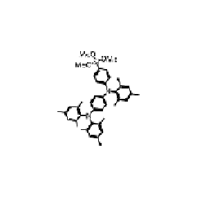 CO[Si](OC)(OC)c1ccc(N(c2ccc(N(c3c(C)cc(C)cc3C)c3c(C)cc(C)cc3C)cc2)c2c(C)cc(C)cc2C)cc1